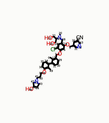 Cc1c(COc2cc(OCc3cncc(C#N)c3)c(CN(C)C(CO)CO)cc2Cl)cccc1-c1cccc(OCCCN2CC[C@@H](O)C2)c1C